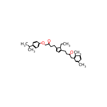 CCC1C(CCC(=O)COc2ccc(C(C)C)cc2)=CC=C1CCC(=O)Cc1cc(C)ccc1C